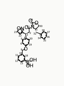 O=C(C[C@@H](c1ccc(OCc2cccc(B(O)O)c2)cc1)c1ccon1)N1C(=O)OC[C@@H]1Cc1ccccc1